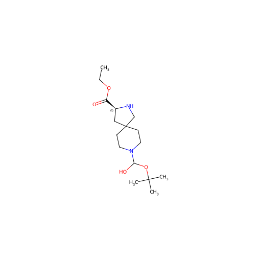 CCOC(=O)[C@@H]1CC2(CCN(C(O)OC(C)(C)C)CC2)CN1